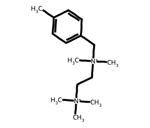 Cc1ccc(C[N+](C)(C)CC[N+](C)(C)C)cc1